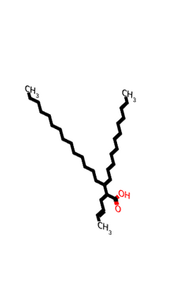 CC=CCC(C(=O)O)C(CCCCCCCCCCCC)CCCCCCCCCCCCCC